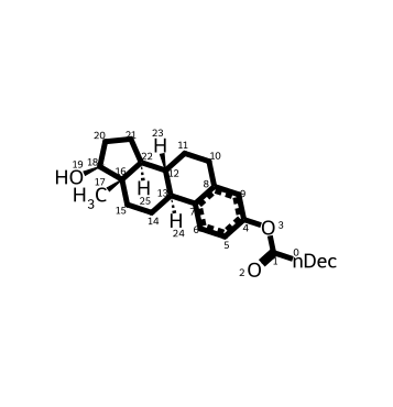 CCCCCCCCCCC(=O)Oc1ccc2c(c1)CC[C@@H]1[C@@H]2CC[C@]2(C)[C@@H](O)CC[C@@H]12